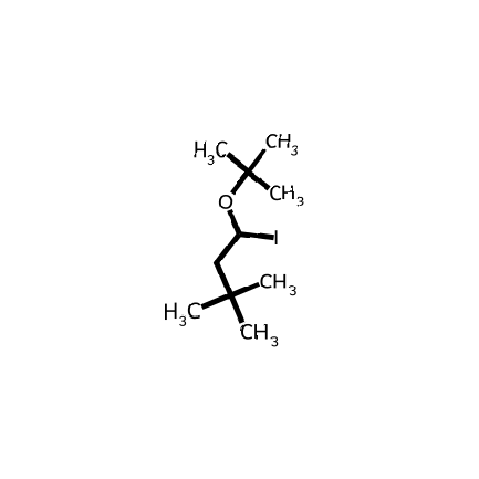 CC(C)(C)CC(I)OC(C)(C)C